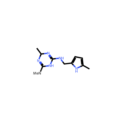 CNC1=NC(C)N=C(NCc2ccc(C)[nH]2)N1